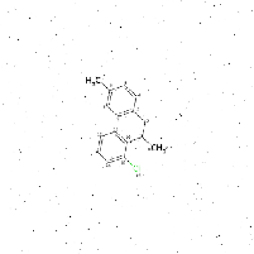 [CH2]C(Cc1ccc(C)cc1)c1ccccc1Cl